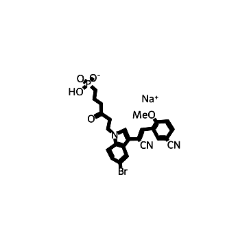 COc1ccc(C#N)cc1/C=C(\C#N)c1cn(CCC(=O)CCCP(=O)([O-])O)c2ccc(Br)cc12.[Na+]